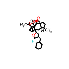 CC(C)C1=CC2CC3(C=O)[C@@H]4CC[C@@H](C)[C@H]4CC2([C@H]2C[C@@H](CC4CCCCC4)[C@H](F)O2)[C@]13C(=O)O